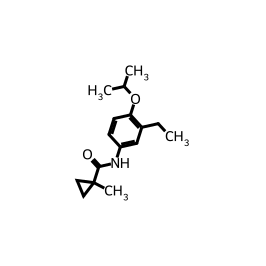 CCc1cc(NC(=O)C2(C)CC2)ccc1OC(C)C